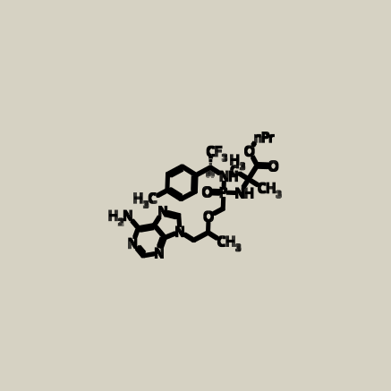 CCCOC(=O)C(C)(C)NP(=O)(COC(C)Cn1cnc2c(N)ncnc21)N[C@H](c1ccc(C)cc1)C(F)(F)F